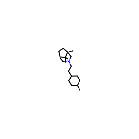 CC1CCC(CCN2CC3CC[C@](C)(C2)C3(C)C)CC1